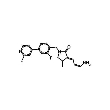 CC1CN(Cc2ccc(-c3ccnc(F)c3)cc2F)C(=O)/C1=C/C=C\N